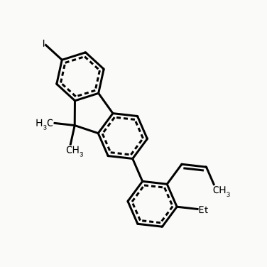 C/C=C\c1c(CC)cccc1-c1ccc2c(c1)C(C)(C)c1cc(I)ccc1-2